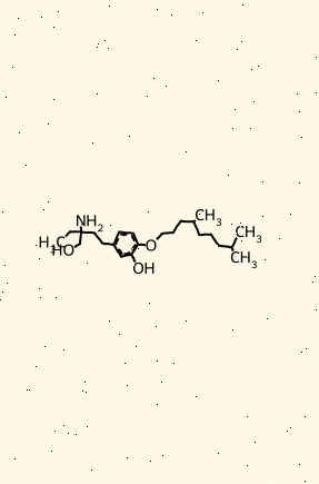 CCC(N)(CO)CCc1ccc(OCCCC(C)CCCC(C)C)c(O)c1